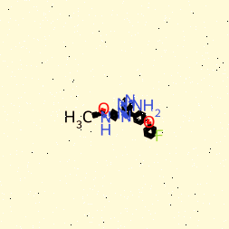 CC#CC(=O)NC1CC(n2nc(-c3ccc(Oc4cccc(F)c4)cc3)c3c(N)ncnc32)C1